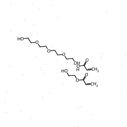 C=CC(=O)O.C=CC(=O)OCCO.OCCOCCOCCOCCO